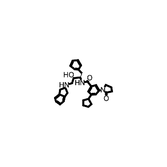 O=C(N[C@@H](Cc1ccccc1)[C@H](O)CNC1Cc2ccccc2C1)c1cc(C2CCCC2)cc(N2CCCC2=O)c1